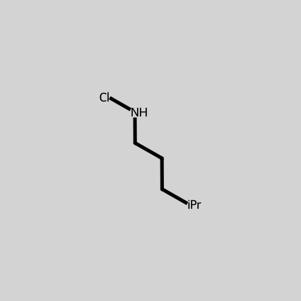 CC(C)CCCNCl